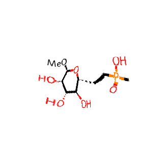 CO[C@H]1O[C@H](CCP(C)(=O)O)[C@@H](O)[C@H](O)[C@@H]1O